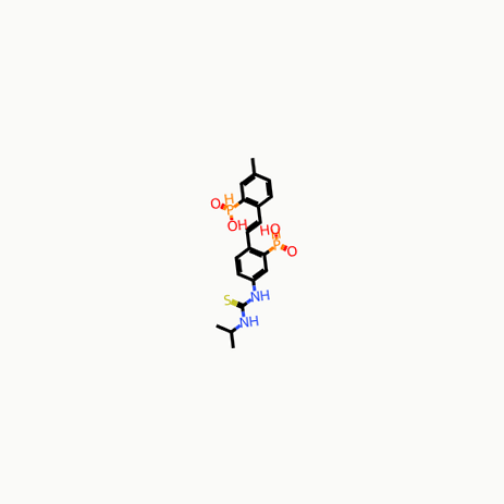 Cc1ccc(/C=C/c2ccc(NC(=S)NC(C)C)cc2[PH](=O)O)c([PH](=O)O)c1